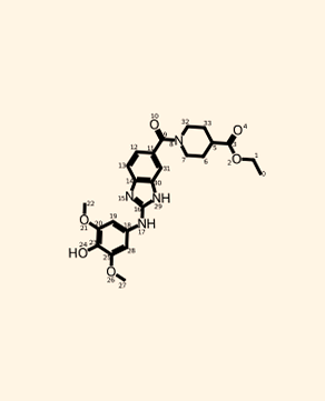 CCOC(=O)C1CCN(C(=O)c2ccc3nc(Nc4cc(OC)c(O)c(OC)c4)[nH]c3c2)CC1